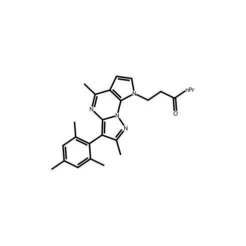 CCCC(=O)CCn1ccc2c(C)nc3c(-c4c(C)cc(C)cc4C)c(C)nn3c21